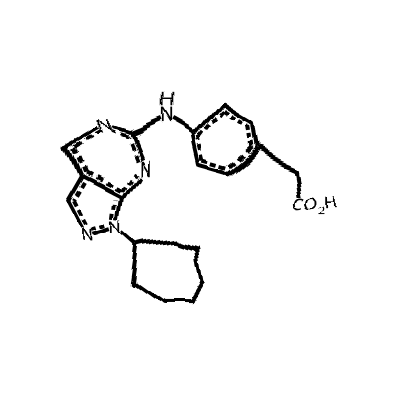 O=C(O)Cc1ccc(Nc2ncc3cnn(C4CCCCCC4)c3n2)cc1